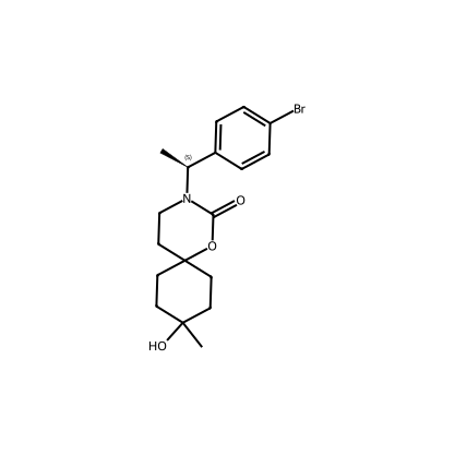 C[C@@H](c1ccc(Br)cc1)N1CCC2(CCC(C)(O)CC2)OC1=O